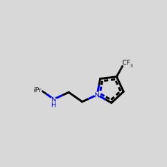 CC(C)NCCn1ccc(C(F)(F)F)c1